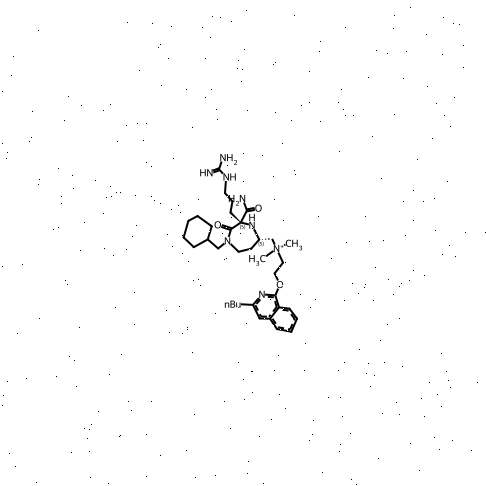 CCCCc1cc2ccccc2c(OCC[N+](C)(C)C[C@@H]2CCN(CC3CCCCC3)C(=O)[C@](CCCNC(=N)N)(C(N)=O)N2)n1